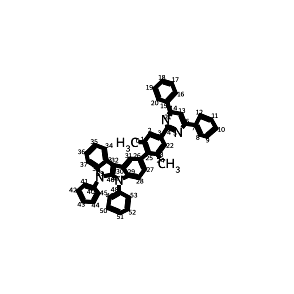 Cc1cc(-c2nc(-c3ccccc3)cc(-c3ccccc3)n2)cc(C)c1-c1ccc2c(c1)c1c3ccccc3n(-c3ccccc3)c1n2-c1ccccc1